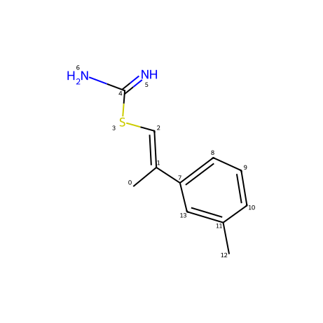 C/C(=C\SC(=N)N)c1cccc(C)c1